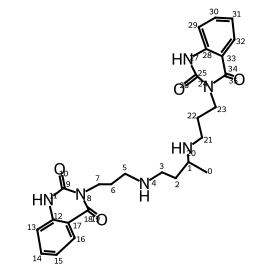 CC(CCNCCCn1c(=O)[nH]c2ccccc2c1=O)NCCCn1c(=O)[nH]c2ccccc2c1=O